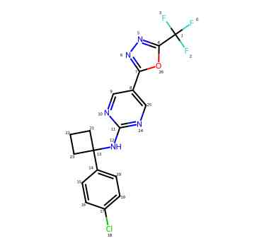 FC(F)(F)c1nnc(-c2cnc(NC3(c4ccc(Cl)cc4)CCC3)nc2)o1